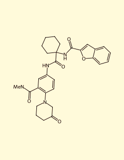 CNC(=O)c1cc(NC(=O)C2(NC(=O)c3cc4ccccc4o3)CCCCC2)ccc1N1CCCC(=O)C1